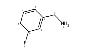 NCC1=CC(F)CC=C1